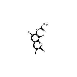 CCCCCCCC(=O)Oc1c(F)cc2cc(C)c(=O)oc2c1F